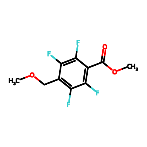 COCc1c(F)c(F)c(C(=O)OC)c(F)c1F